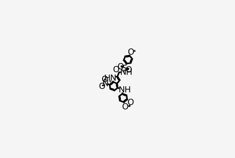 COc1ccc(S(=O)(=O)NC(=O)c2cc3c(Nc4ccc5c(c4)OCO5)ccc([N+](=O)[O-])c3[nH]2)cc1